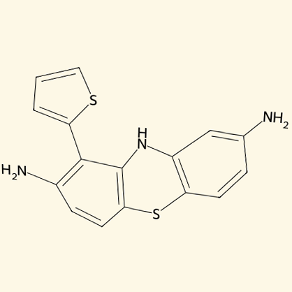 Nc1ccc2c(c1)Nc1c(ccc(N)c1-c1cccs1)S2